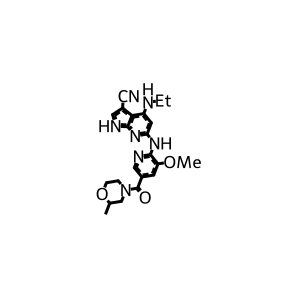 CCNc1cc(Nc2ncc(C(=O)N3CCOC(C)C3)cc2OC)nc2[nH]cc(C#N)c12